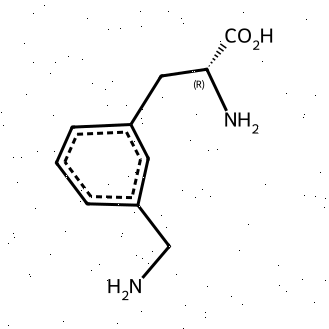 NCc1cccc(C[C@@H](N)C(=O)O)c1